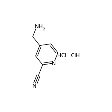 Cl.Cl.N#Cc1cc(CN)ccn1